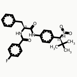 CC(C)(C)[C@@H](c1ccc(NC(=O)[C@H](Cc2ccccc2)NC(=O)c2ccc(F)cc2)cc1)[SH](=O)=O